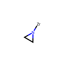 [Zr][N]1CC1